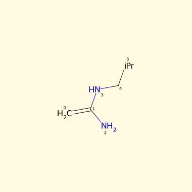 C=C(N)NCC(C)C